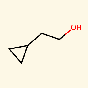 OCCC1[CH]C1